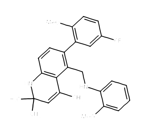 COc1ccccc1NCc1c(-c2cc(C(F)(F)F)ccc2OC)ccc2c1C(C)=CC(C)(C)N2